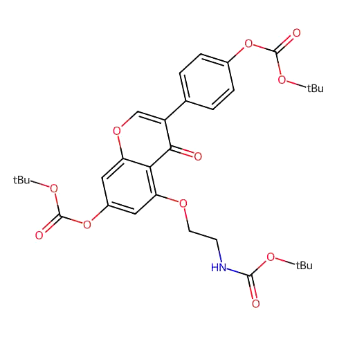 CC(C)(C)OC(=O)NCCOc1cc(OC(=O)OC(C)(C)C)cc2occ(-c3ccc(OC(=O)OC(C)(C)C)cc3)c(=O)c12